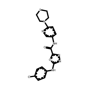 O=C(Nc1ccc(N2CCSCC2)nc1)c1nnc(Nc2ccc(Cl)cc2)o1